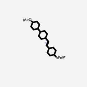 CCCCCC1CCC(/C=C/C2CCC(C3CCC(OC)CC3)CC2)CC1